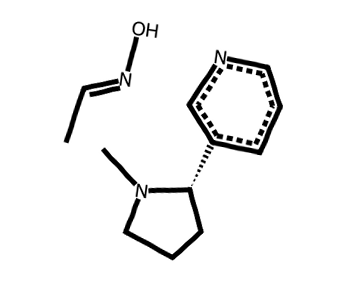 CC=NO.CN1CCC[C@H]1c1cccnc1